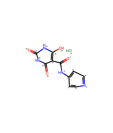 Cl.O=C(Nc1ccncc1)c1c(O)[nH]c(=O)[nH]c1=O